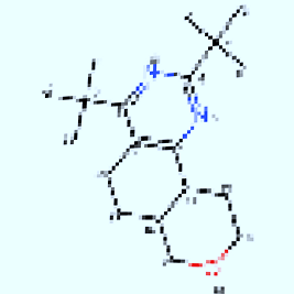 CC(C)(C)c1nc2c(c(C(C)(C)C)n1)CCC1COCCC21